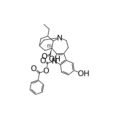 CCC1CC2CN3CCc4c(n(C(=O)OC(=O)c5ccccc5)c5ccc(O)cc45)[C@](C(=O)O)(C2)C13